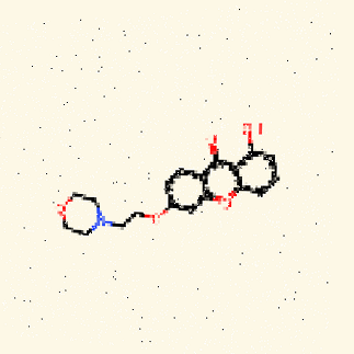 O=c1c2ccc(OCCN3CCOCC3)cc2oc2cccc(O)c12